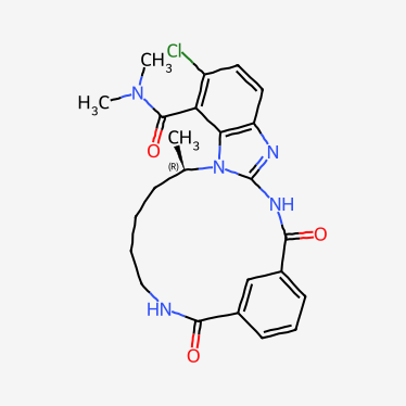 C[C@@H]1CCCCNC(=O)c2cccc(c2)C(=O)Nc2nc3ccc(Cl)c(C(=O)N(C)C)c3n21